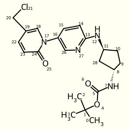 CC(C)(C)OC(=O)N[C@H]1CC[C@H](Nc2ccc(-n3cc(CCl)ccc3=O)cn2)C1